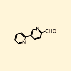 O=Cc1ccc(-c2ccccn2)cn1